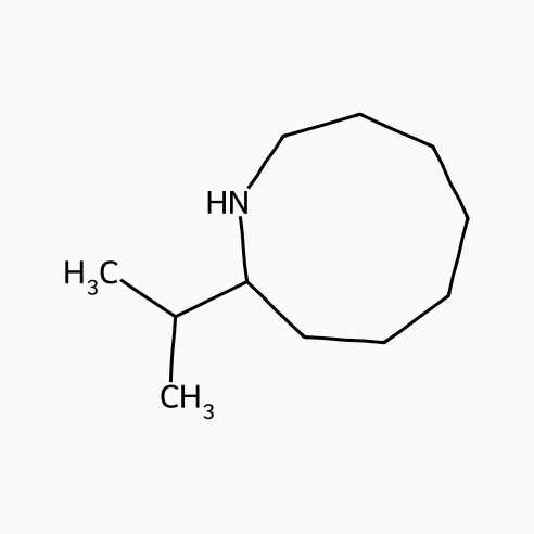 CC(C)C1CCCCCCCN1